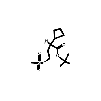 CC(C)(C)OC(=O)C(N)(CCOS(C)(=O)=O)C1CCC1